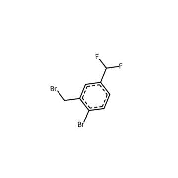 FC(F)c1ccc(Br)c(CBr)c1